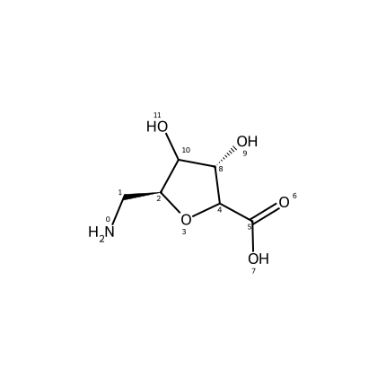 NC[C@@H]1OC(C(=O)O)[C@@H](O)C1O